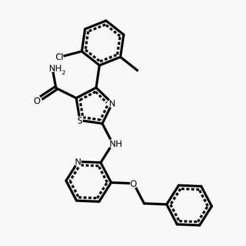 Cc1cccc(Cl)c1-c1nc(Nc2ncccc2OCc2ccccc2)sc1C(N)=O